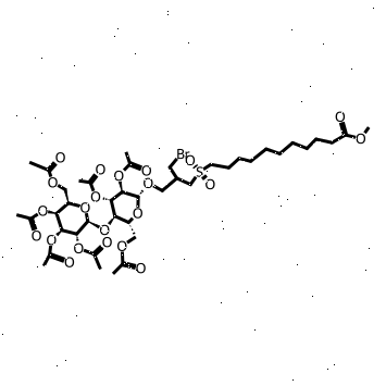 COC(=O)CCCCCCCCCCS(=O)(=O)CC(CBr)CO[C@@H]1O[C@H](COC(C)=O)[C@@H](O[C@@H]2O[C@H](COC(C)=O)[C@H](OC(C)=O)[C@H](OC(C)=O)[C@H]2OC(C)=O)[C@H](OC(C)=O)[C@H]1OC(C)=O